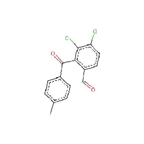 Cc1ccc(C(=O)c2c([C]=O)ccc(Cl)c2Cl)cc1